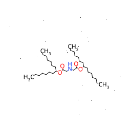 CCCCCCCC(CCCCCCC)OC(=O)CNCC(=O)OC(CCCCCCC)CCCCCCC